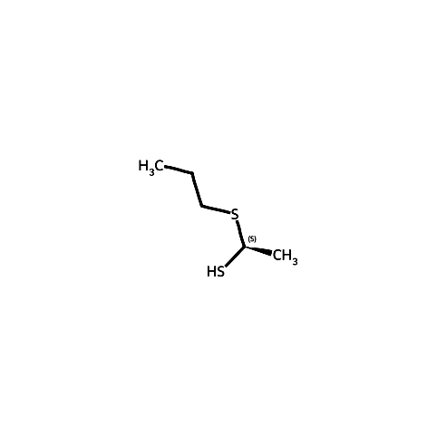 CCCS[C@@H](C)S